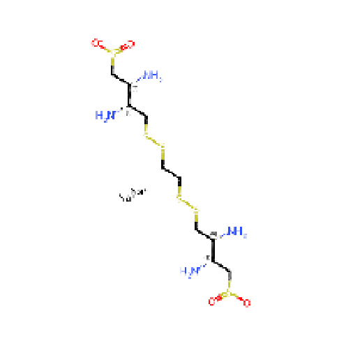 N[C@@H](CSSCCSSC[C@H](N)[C@@H](N)CS(=O)[O-])[C@@H](N)CS(=O)[O-].[Na+].[Na+]